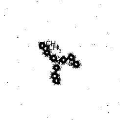 CC1(C)c2ccccc2-c2ccc(-c3ccc(N(c4ccc(-c5ccc6ccccc6c5)cc4)c4ccc(-c5cccc6c5sc5ccccc56)cc4)cc3)cc21